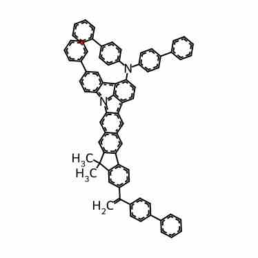 C=C(c1ccc(-c2ccccc2)cc1)c1ccc2c(c1)C(C)(C)c1cc3cc4c(cc3cc1-2)c1ccc(N(c2ccc(-c3ccccc3)cc2)c2ccc(-c3ccccc3)cc2)c2c3cc(-c5ccccc5)ccc3n4c12